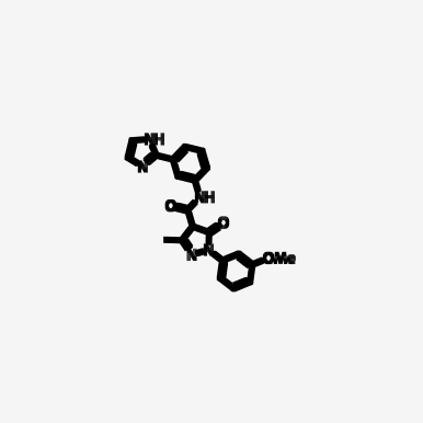 COc1cccc(N2N=C(C)C(C(=O)Nc3cccc(-c4ncc[nH]4)c3)C2=O)c1